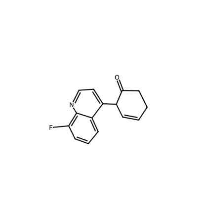 O=C1CCC=CC1c1ccnc2c(F)cccc12